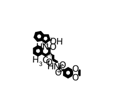 COC(CNS(=O)(=O)c1ccc2c(c1)OCCO2)C[C@@H](Cc1ccccc1)C(=O)N[C@H]1c2ccccc2C[C@@H]1O